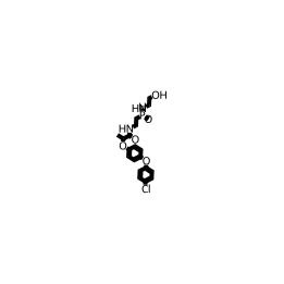 CC(Oc1ccc(Oc2ccc(Cl)cc2)cc1)C(=O)NCC[PH](=O)NCCO